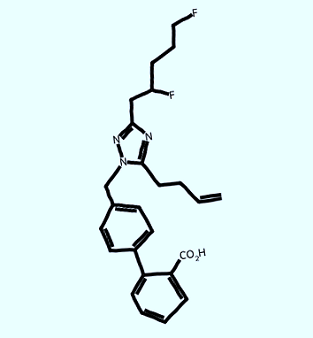 C=CCCc1nc(CC(F)CCCF)nn1Cc1ccc(-c2ccccc2C(=O)O)cc1